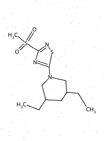 CCC1CC(CC)CN(c2nc(S(C)(=O)=O)ns2)C1